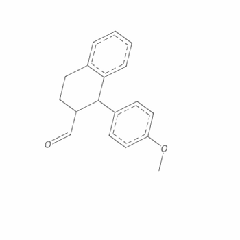 COc1ccc(C2c3ccccc3CCC2C=O)cc1